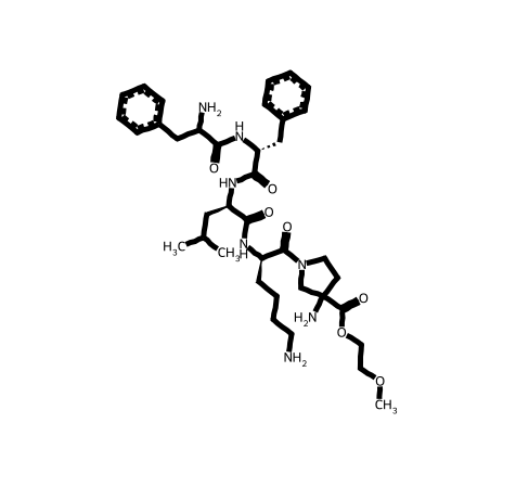 COCCOC(=O)C1(N)CCN(C(=O)[C@@H](CCCCN)NC(=O)[C@@H](CC(C)C)NC(=O)[C@@H](Cc2ccccc2)NC(=O)C(N)Cc2ccccc2)C1